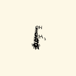 C/C(=C\c1ccc(Cc2cccnc2)cc1)COCCCCCO